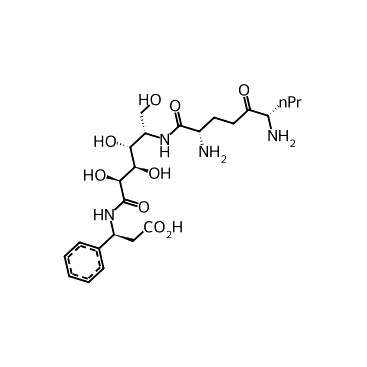 CCC[C@H](N)C(=O)CC[C@H](N)C(=O)N[C@@H](CO)[C@@H](O)[C@@H](O)[C@H](O)C(=O)N[C@@H](CC(=O)O)c1ccccc1